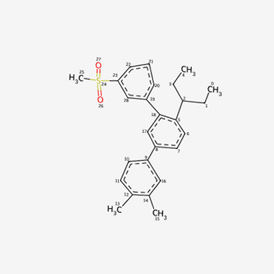 CCC(CC)c1ccc(-c2ccc(C)c(C)c2)cc1-c1cccc(S(C)(=O)=O)c1